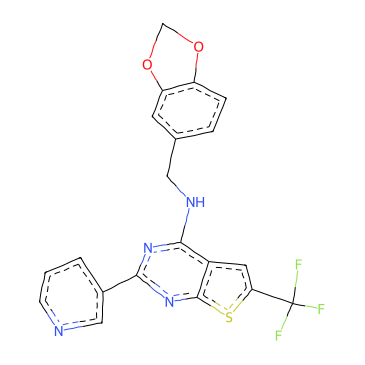 FC(F)(F)c1cc2c(NCc3ccc4c(c3)OCO4)nc(-c3cccnc3)nc2s1